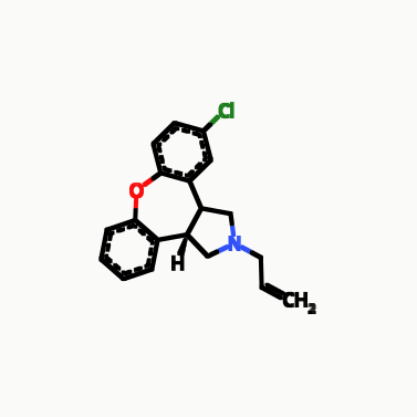 C=CCN1CC2c3cc(Cl)ccc3Oc3ccccc3[C@H]2C1